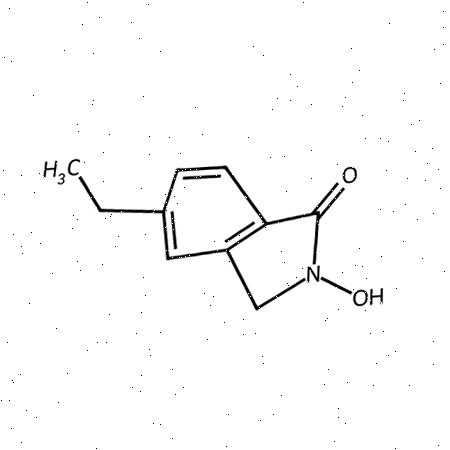 CCc1ccc2c(c1)CN(O)C2=O